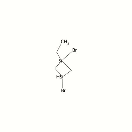 CC[Si]1(Br)C[SiH](Br)C1